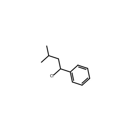 CC(C)CC(Cl)c1[c]cccc1